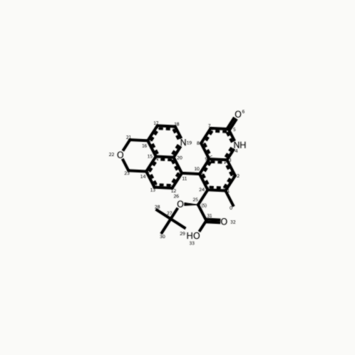 Cc1cc2[nH]c(=O)ccc2c(-c2ccc3c4c(ccnc24)COC3)c1[C@H](OC(C)(C)C)C(=O)O